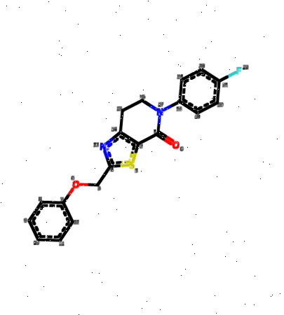 O=C1c2sc(COc3ccccc3)nc2CCN1c1ccc(F)cc1